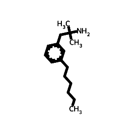 CCCCCCc1cccc(CC(C)(C)N)c1